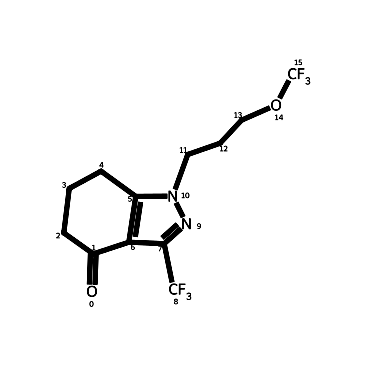 O=C1CCCc2c1c(C(F)(F)F)nn2CCCOC(F)(F)F